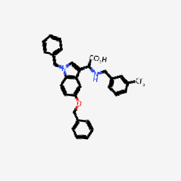 O=C(O)C(NCc1cccc(C(F)(F)F)c1)c1cn(Cc2ccccc2)c2ccc(OCc3ccccc3)cc12